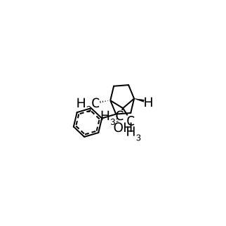 CC1(C)[C@@H]2CC[C@]1(C)[C@](O)(c1ccccc1)C2